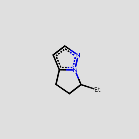 CCC1CCc2ccnn21